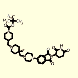 CC(C)(C)OC(=O)N1CCC(CN2CCC(F)(CN3CCN(c4ccc5c(c4)C(=O)N(C4CCC(=O)NC4=O)C5=O)CC3)CC2)CC1